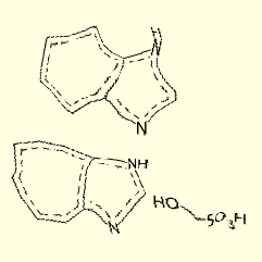 O=S(=O)(O)O.c1ccc2[nH]cnc2c1.c1ccc2[nH]cnc2c1